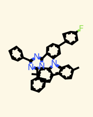 Cc1ccc2c3ccc(C)cc3n(-c3cc(-c4ccc(F)cc4)ccc3-c3nc(-c4ccccc4)nc(-c4ccccc4)n3)c2c1